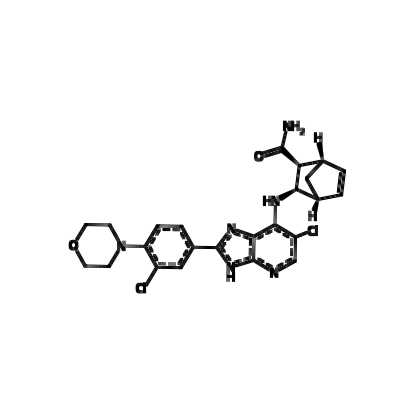 NC(=O)[C@@H]1[C@H](Nc2c(Cl)cnc3[nH]c(-c4ccc(N5CCOCC5)c(Cl)c4)nc23)[C@H]2C=C[C@@H]1C2